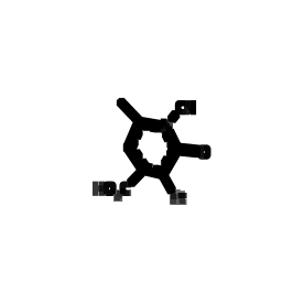 CCc1c(C(=O)O)cc(C)n(C#N)c1=O